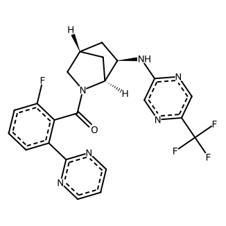 O=C(c1c(F)cccc1-c1ncccn1)N1C[C@@H]2C[C@@H](Nc3cnc(C(F)(F)F)cn3)[C@@H]1C2